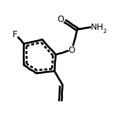 C=Cc1ccc(F)cc1OC(N)=O